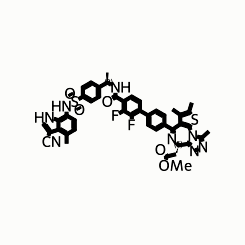 COC(=O)C[C@@H]1N=C(c2ccc(-c3ccc(C(=O)N[C@H](C)c4ccc(S(=O)(=O)Nc5ccc(C)c6c(C#N)c[nH]c56)cc4)c(F)c3F)cc2)c2c(sc(C)c2C)-n2c(C)nnc21